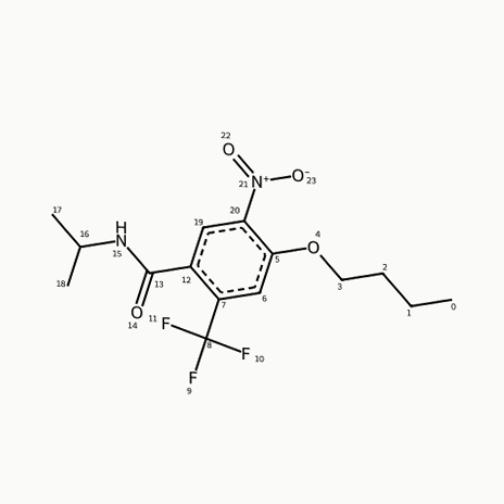 CCCCOc1cc(C(F)(F)F)c(C(=O)NC(C)C)cc1[N+](=O)[O-]